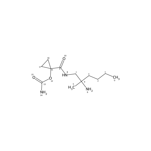 CCCCC(C)(N)CNC(=O)C1(OC(N)=O)CC1